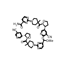 CC1(C(=O)N2OCC[C@H]2c2cncc(C#N)c2)CCN(c2nccc(C(N)=O)n2)CC1.COC(=O)c1ccnc(N2CCC(C)(C(=O)N3OCC[C@H]3c3cncc(C#N)c3)CC2)n1